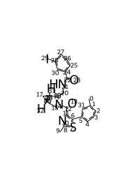 Cc1cccc(-c2sc(C)nc2C(=O)N2C[C@@H]3C[C@@H]3[C@H]2CNC(=O)c2cccc(I)c2)c1